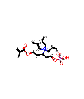 C=C(C)C(=O)OCCC(CCOP(=O)([O-])O)[N+](CCC)(CCC)CCC